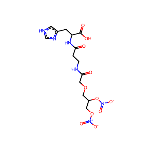 O=C(COCC(CO[N+](=O)[O-])O[N+](=O)[O-])NCCC(=O)NC(Cc1c[nH]cn1)C(=O)O